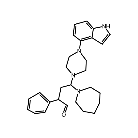 O=CC(CC(N1CCCCCC1)N1CCN(c2cccc3[nH]ccc23)CC1)c1ccccc1